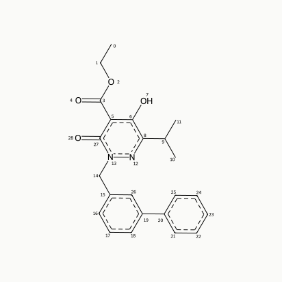 CCOC(=O)c1c(O)c(C(C)C)nn(Cc2cccc(-c3ccccc3)c2)c1=O